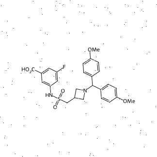 COc1ccc(C(c2ccc(OC)cc2)N2CC(CS(=O)(=O)Nc3cc(F)cc(C(=O)O)c3)C2)cc1